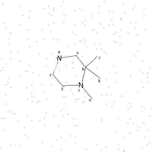 CN1CC[N]CC1(C)C